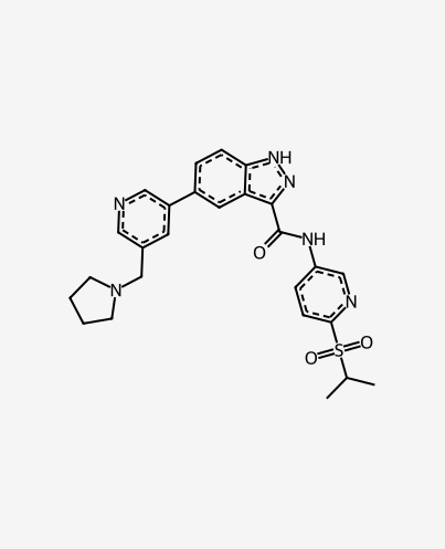 CC(C)S(=O)(=O)c1ccc(NC(=O)c2n[nH]c3ccc(-c4cncc(CN5CCCC5)c4)cc23)cn1